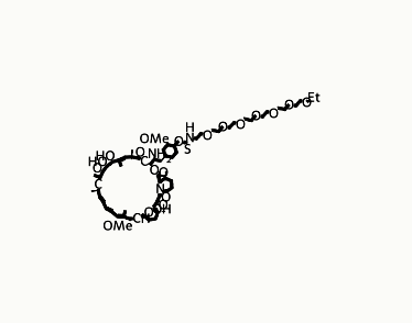 CCOCCOCCOCCOCCOCCOCCOCCNC(=S)OC1CC[C@@H](C[C@@H](N)[C@@H]2CC(=O)[C@H](C)/C=C(\C)[C@@H](O)[C@@H](O)C(=O)C(C)C[C@H](C)/C=C/C=C/C=C(\C)[C@@H](OC)C[C@@H]3CC[C@@H](C)[C@@](O)(O3)C(=O)C(=O)N3CCCC[C@H]3C(=O)O2)C[C@H]1OC